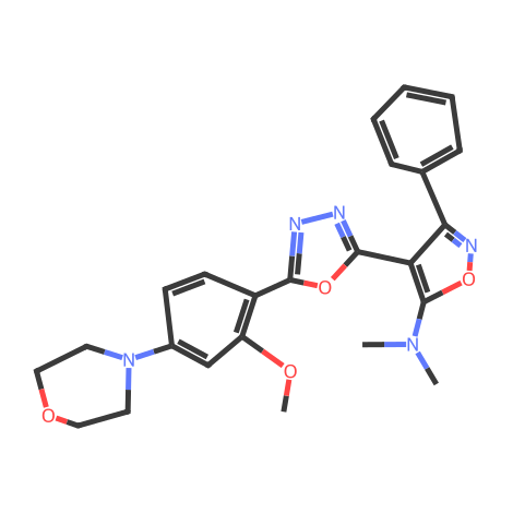 COc1cc(N2CCOCC2)ccc1-c1nnc(-c2c(-c3ccccc3)noc2N(C)C)o1